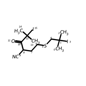 CC(C)(I)CSCCC(C#N)C(=O)C(C)(C)I